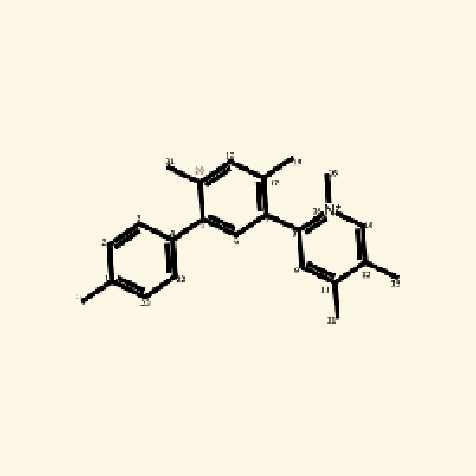 Cc1ccc(-c2cc(-c3cc(C)c(C)c[n+]3C)c(C)cc2C)cc1